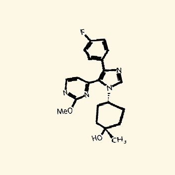 COc1nccc(-c2c(-c3ccc(F)cc3)ncn2[C@H]2CC[C@@](C)(O)CC2)n1